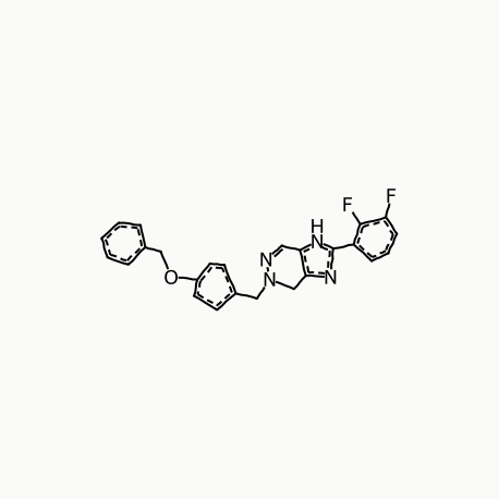 Fc1cccc(-c2nc3c([nH]2)C=NN(Cc2ccc(OCc4ccccc4)cc2)C3)c1F